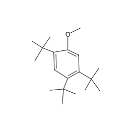 COc1cc(C(C)(C)C)c(C(C)(C)C)cc1C(C)(C)C